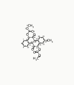 COC(=O)OC1=c2ccccc2=C2C(=O)C(OC(=O)OC)=c3cc(C)ccc3=C2C1=O